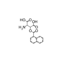 NC(C(=O)O)C(OC(=O)c1cccc2ccccc12)C(=O)O